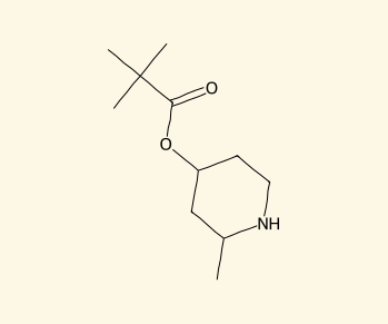 CC1CC(OC(=O)C(C)(C)C)CCN1